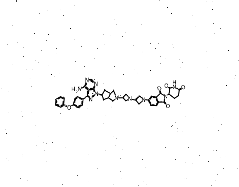 Nc1ncnc2c1c(-c1ccc(Oc3ccccc3)cc1)nn2C1CC2CN(C3CN(C4CN(c5ccc6c(c5)C(=O)N(C5CCC(=O)NC5=O)C6=O)C4)C3)CC2C1